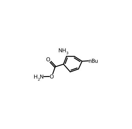 CCCCc1ccc(C(=O)ON)cc1.N